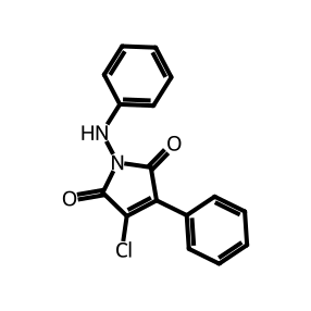 O=C1C(Cl)=C(c2ccccc2)C(=O)N1Nc1ccccc1